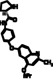 CCCOc1cc(C)nc2ccc(Oc3ccc(NC(=O)[C@@H]4CCCN4)cc3)cc12